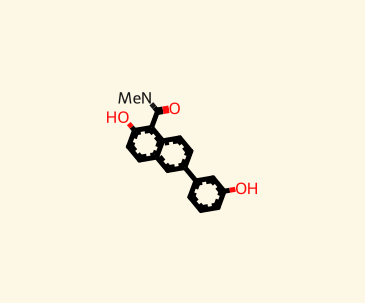 CNC(=O)c1c(O)ccc2cc(-c3cccc(O)c3)ccc12